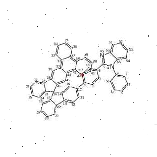 c1ccc(-n2c(-c3ccc(-c4ccc5c(c4)C4(c6ccccc6-5)c5ccccc5-c5cc6c7ccccc7c7ccccc7c6cc54)cc3)nc3ccccc32)cc1